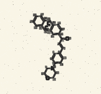 O=C(C=Cc1ccc(N2CCOCC2)cc1)c1ccc2c(c1)C1CCC2c2ccccc21